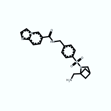 NCC12CC(CN1S(=O)(=O)c1ccc(CNC(=O)c3ccc4nccn4c3)cc1)C2